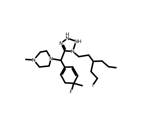 CCCC(CCI)CCN1NNN=C1C(C1=CCC(C)(F)C=C1)N1CCN(C)CC1